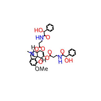 COc1ccc2c3c1O[C@H]1C(OC(=O)CCNC(=O)[C@@H](O)c4ccccc4)=CC[C@@]4(OC(=O)CCNC(=O)[C@@H](O)c5ccccc5)[C@@H](C2)N(C)CC[C@]314